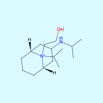 CC(C)NC1C[C@H]2CCC[C@@H](C1)[N+]2(CCO)C(C)C